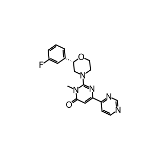 Cn1c(N2CCO[C@@H](c3cccc(F)c3)C2)nc(-c2ccncn2)cc1=O